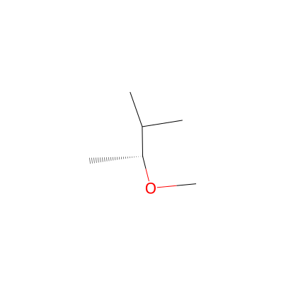 CO[C@H](C)C(C)C